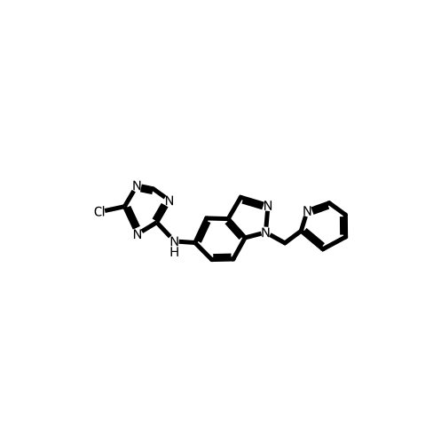 Clc1ncnc(Nc2ccc3c(cnn3Cc3ccccn3)c2)n1